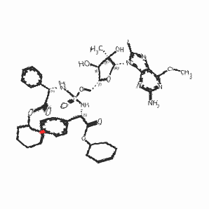 COc1nc(N)nc2c1nc(I)n2[C@@H]1O[C@H](COP(=O)(N[C@H](C(=O)OC2CCCCC2)c2ccccc2)N[C@H](C(=O)OC2CCCCC2)c2ccccc2)[C@@H](O)[C@@]1(C)O